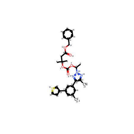 CC(OC(=O)OC(C)(C)CC(=O)OCc1ccccc1)n1nc(C#N)c(-c2cc(-c3ccsc3)cc(C(F)(F)F)c2)n1